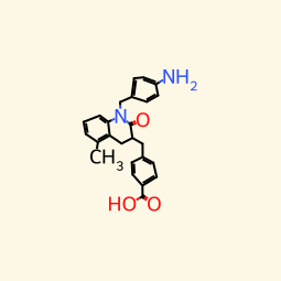 Cc1cccc2c1CC(Cc1ccc(C(=O)O)cc1)C(=O)N2Cc1ccc(N)cc1